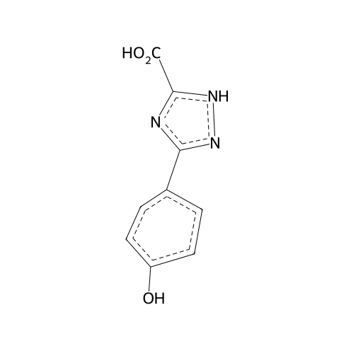 O=C(O)c1nc(-c2ccc(O)cc2)n[nH]1